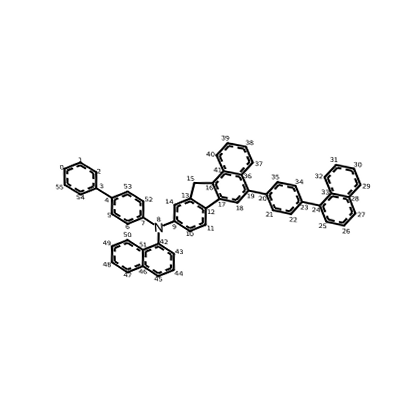 c1ccc(-c2ccc(N(c3ccc4c(c3)Cc3c-4cc(-c4ccc(-c5cccc6ccccc56)cc4)c4ccccc34)c3cccc4ccccc34)cc2)cc1